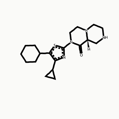 O=C1[C@H]2CNCCN2CCN1c1nc(C2CC2)c(C2CCCCC2)s1